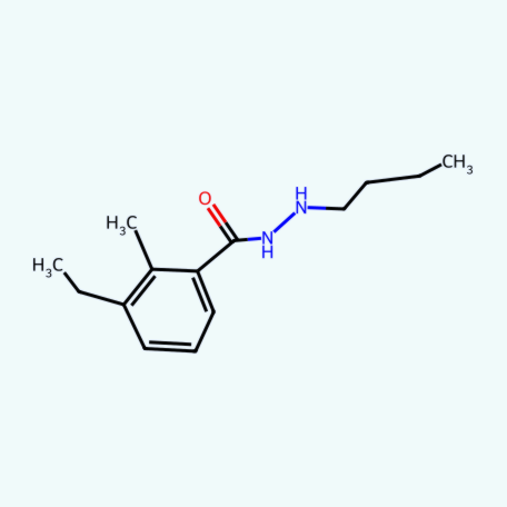 CCCCNNC(=O)c1cccc(CC)c1C